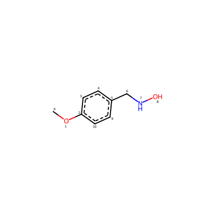 COc1ccc(CNO)cc1